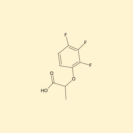 CC(Oc1ccc(F)c(F)c1F)C(=O)O